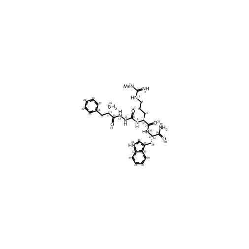 CNC(=N)NCCC[C@H](NC(=O)NNC(=O)[C@@H](N)Cc1ccccc1)C(=O)N[C@@H](Cc1c[nH]c2ccccc12)C(N)=O